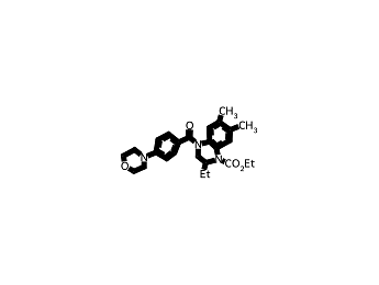 CCOC(=O)N1c2cc(C)c(C)cc2N(C(=O)c2ccc(N3CCOCC3)cc2)CC1CC